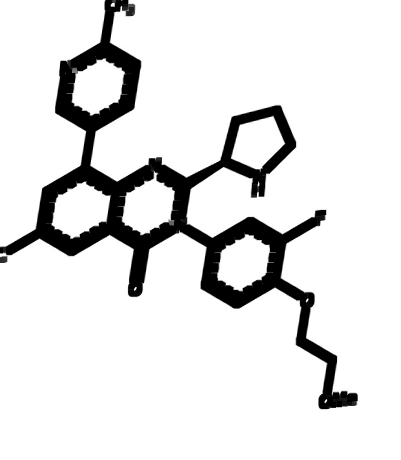 COCCOc1ccc(-n2c([C@H]3CCCN3)nc3c(-c4ccc(C)nc4)cc(C#N)cc3c2=O)cc1F